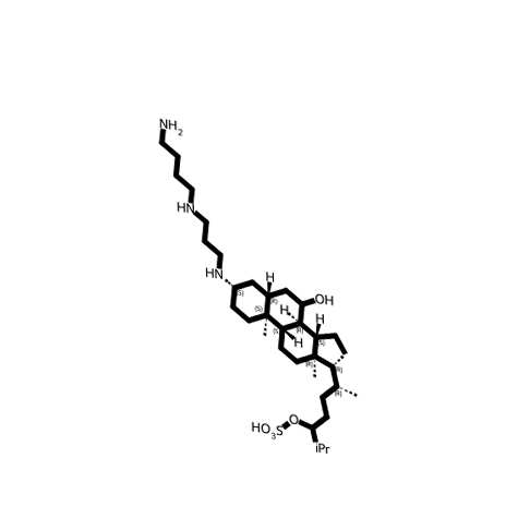 CC(C)C(CC[C@@H](C)[C@H]1CC[C@H]2[C@@H]3C(O)C[C@H]4C[C@@H](NCCCNCCCCN)CC[C@]4(C)[C@H]3CC[C@]12C)OS(=O)(=O)O